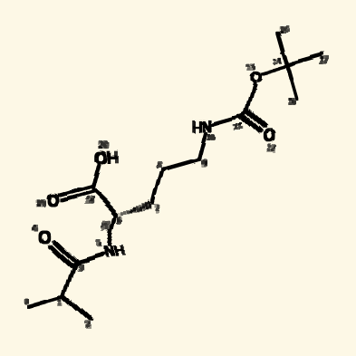 CC(C)C(=O)N[C@@H](CCCNC(=O)OC(C)(C)C)C(=O)O